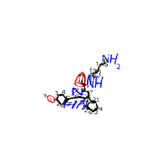 COc1ccc(-c2nc(C(=O)NCCCCN)cc3c2[nH]c2ccccc23)cc1